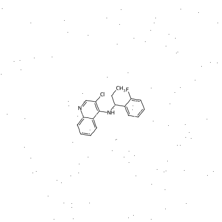 CCC(Nc1c(Cl)cnc2ccccc12)c1ccccc1F